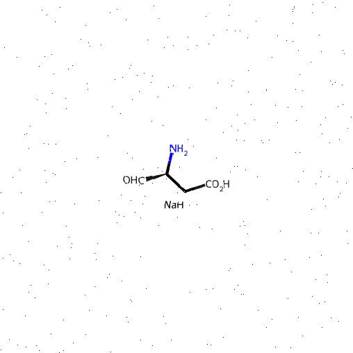 N[C@H](C=O)CC(=O)O.[NaH]